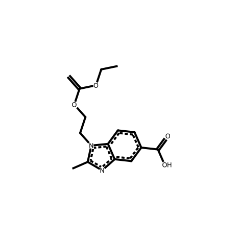 C=C(OCC)OCCn1c(C)nc2cc(C(=O)O)ccc21